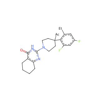 CCc1cc(F)cc(F)c1C1(C(C)=O)CCN(c2nc3c(c(=O)[nH]2)CCCC3)CC1